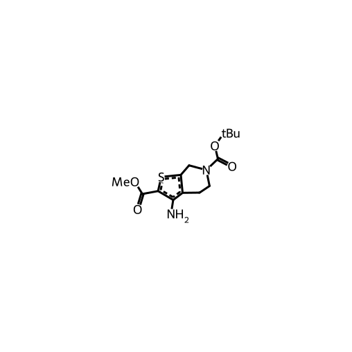 COC(=O)c1sc2c(c1N)CCN(C(=O)OC(C)(C)C)C2